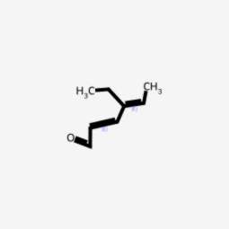 C/C=C(/C=C/C=O)CC